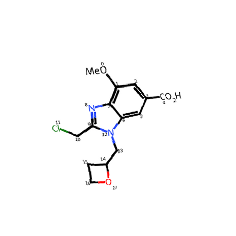 COc1cc(C(=O)O)cc2c1nc(CCl)n2CC1CCO1